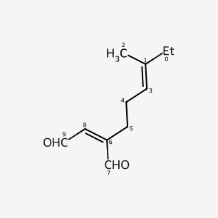 CCC(C)=CCCC(C=O)=CC=O